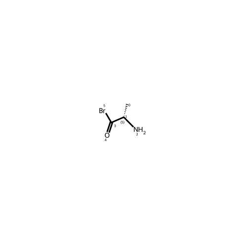 C[C@H](N)C(=O)Br